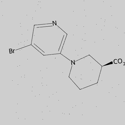 O=C(O)[C@H]1CCCN(c2cncc(Br)c2)C1